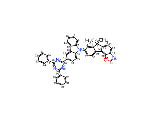 CC1(C)c2cc(-n3c4ccccc4c4cc(-c5nc(-c6ccccc6)nc(-c6ccccc6)n5)ccc43)ccc2-c2c1ccc1ncoc21